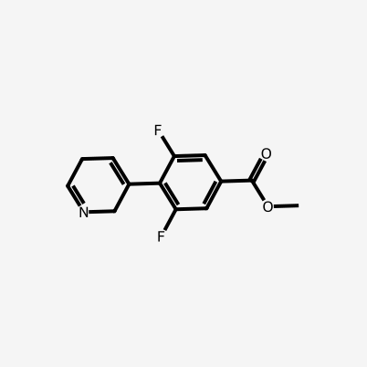 COC(=O)c1cc(F)c(C2=CCC=NC2)c(F)c1